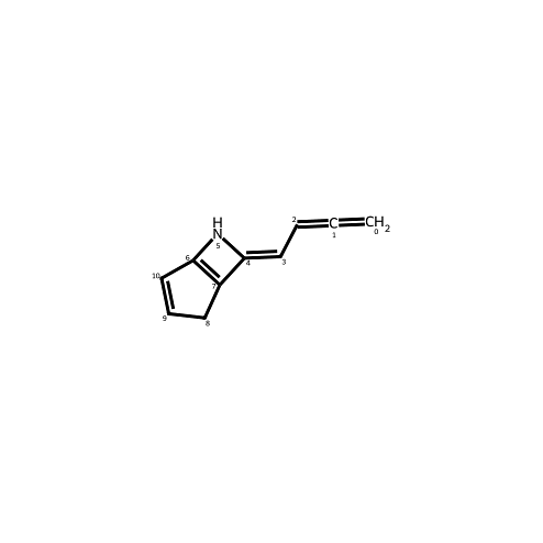 C=C=C/C=C1\NC2=C1CC=C2